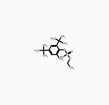 CCOP(=O)(O)Oc1c(C)cc(C(C)(C)C)cc1C(C)(C)C